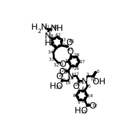 C=C(O)CN(Cc1cccc(C(=O)O)c1)C(=O)CN(CC(=O)O)C(=O)c1cccc2c1OCCCc1cc(NC(=N)N)ccc1C(=O)O2